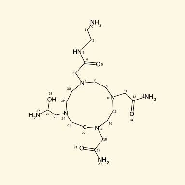 NCCNC(=O)CN1CCN(CC(N)=O)CCN(CC(N)=O)CCN(CC(N)O)CC1